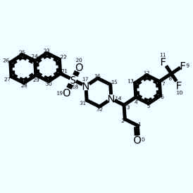 O=CCC(c1ccc(C(F)(F)F)cc1)N1CCN(S(=O)(=O)c2ccc3ccccc3c2)CC1